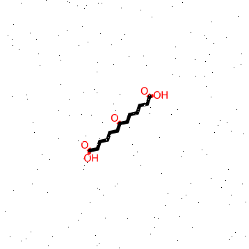 O=C(O)CCCCCC(=O)CCCCCC(=O)O